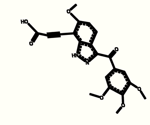 COc1cc(C(=O)c2n[nH]c3c(C#CC(=O)O)c(OC)ccc23)cc(OC)c1OC